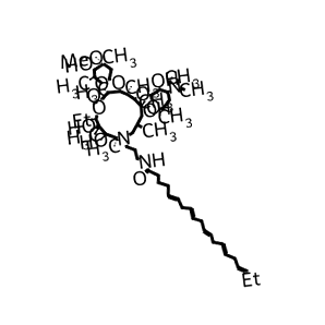 CCC=CCC=CCC=CCC=CCC=CCCCC(=O)NCCCN1CC(C)C[C@@](C)(O)[C@H](O[C@@H]2O[C@H](C)C[C@H](N(C)C)[C@H]2O)[C@@H](C)[C@H](O[C@H]2C[C@@](C)(OC)[C@@H](O)[C@H](C)O2)[C@@H](C)C(=O)O[C@H](CC)[C@@](C)(O)[C@H](O)[C@H]1C